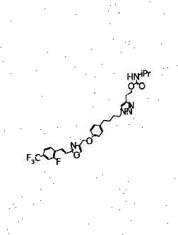 CC(C)NC(=O)OCCc1cn(CCCCc2ccc(OCc3coc(C=Cc4ccc(C(F)(F)F)cc4F)n3)cc2)nn1